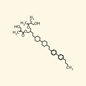 C=C(CO)C(=O)OCC(CCC1CCC(C2CCC(CCc3ccc(-c4ccc(CCCC)cc4)cc3)CC2)CC1)COC(=C)C(C)CO